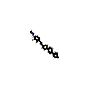 C/C=C/Oc1ccc(CCC2CCC(c3ccc(-c4ccc(C)cc4)cc3)CC2)c(F)c1F